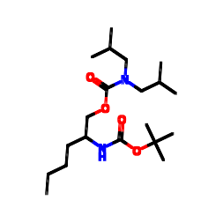 CCCCC(COC(=O)N(CC(C)C)CC(C)C)NC(=O)OC(C)(C)C